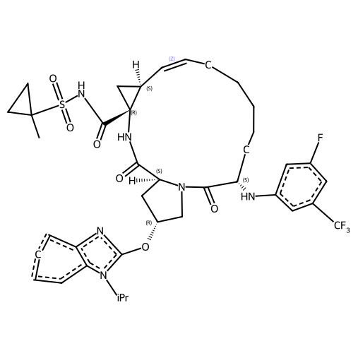 CC(C)n1c(O[C@@H]2C[C@H]3C(=O)N[C@]4(C(=O)NS(=O)(=O)C5(C)CC5)C[C@H]4/C=C\CCCCC[C@H](Nc4cc(F)cc(C(F)(F)F)c4)C(=O)N3C2)nc2ccccc21